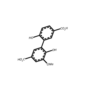 COc1cc(C(=O)O)cc(-c2cc(C(=O)O)ccc2O)c1O